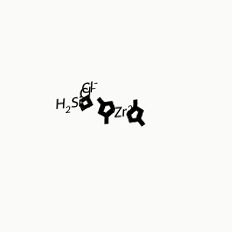 C1C[SiH2]C1.CC1=CC(C)=[C]([Zr+2][C]2=C(C)C=C(C)C2)C1.[Cl-].[Cl-]